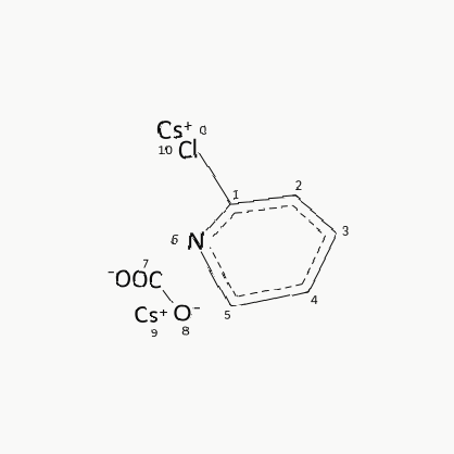 Clc1ccccn1.O=C([O-])[O-].[Cs+].[Cs+]